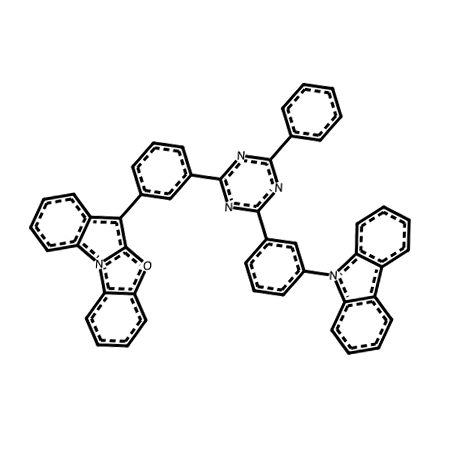 c1ccc(-c2nc(-c3cccc(-c4c5ccccc5n5c4oc4ccccc45)c3)nc(-c3cccc(-n4c5ccccc5c5ccccc54)c3)n2)cc1